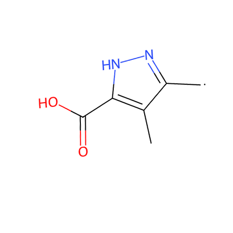 [CH2]c1n[nH]c(C(=O)O)c1C